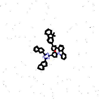 CC1(C)c2ccccc2-c2ccc(-c3cccc(-c4cccc5c6ccccc6n(-c6ccc(-c7nc(-c8ccc9ccccc9c8)nc(-c8ccc9ccccc9c8)n7)cc6)c45)c3)cc21